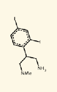 CNCC(CN)c1ccc(I)cc1I